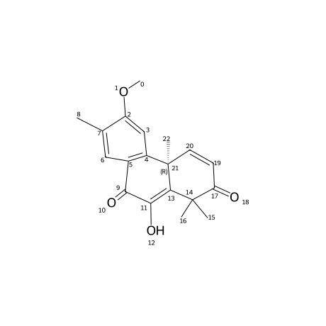 COc1cc2c(cc1C)C(=O)C(O)=C1C(C)(C)C(=O)C=C[C@@]12C